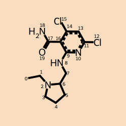 CCN1CCCC1CNc1nc(Cl)cc(Cl)c1C(N)=O